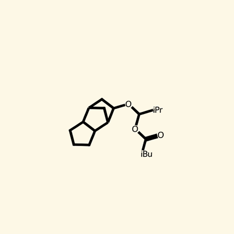 CCC(C)C(=O)OC(OC1CC2CC1C1CCCC21)C(C)C